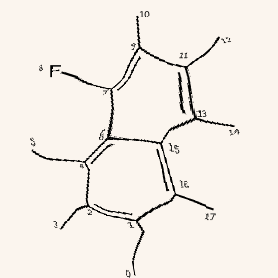 Cc1c(C)c(C)c2c(F)c(C)c(C)c(C)c2c1C